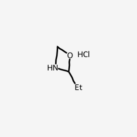 CCC1NCO1.Cl